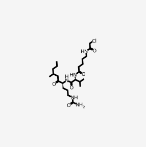 CCCC(C)CC(=O)[C@H](CCCNC(N)=O)NC(=O)[C@@H](NC(=O)CCCCNC(=O)CCl)C(C)C